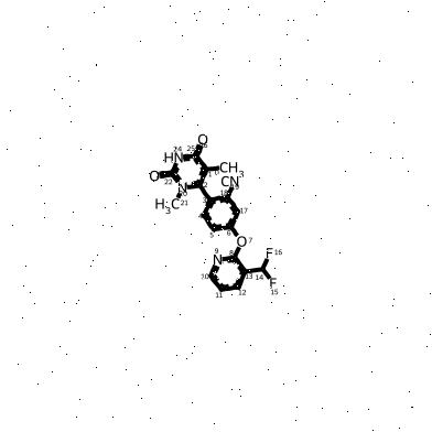 Cc1c(-c2ccc(Oc3ncccc3C(F)F)cc2C#N)n(C)c(=O)[nH]c1=O